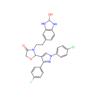 O=C1COC(c2cn(-c3ccc(Cl)cc3)nc2-c2ccc(F)cc2)N1CCc1ccc2c(c1)NC(O)N2